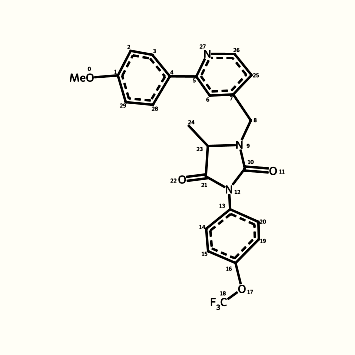 COc1ccc(-c2cc(CN3C(=O)N(c4ccc(OC(F)(F)F)cc4)C(=O)C3C)ccn2)cc1